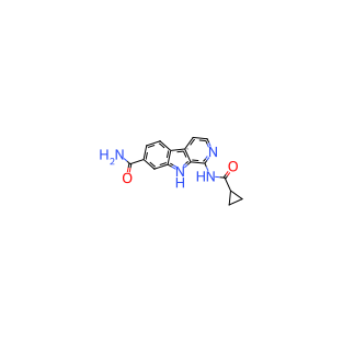 NC(=O)c1ccc2c(c1)[nH]c1c(NC(=O)C3CC3)nccc12